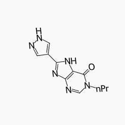 CCCn1cnc2nc(-c3cn[nH]c3)[nH]c2c1=O